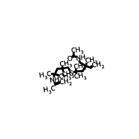 C=CC(C)(CNC(C)=O)CC(C)(C)SCC(C)(C)CC(C)(C)NC(=C)C